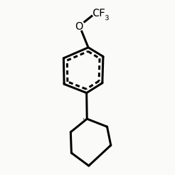 FC(F)(F)Oc1ccc([C]2CCCCC2)cc1